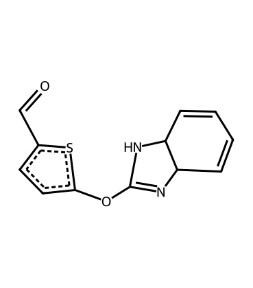 O=Cc1ccc(OC2=NC3C=CC=CC3N2)s1